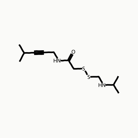 CC(C)C#CCNC(=O)CSSCNC(C)C